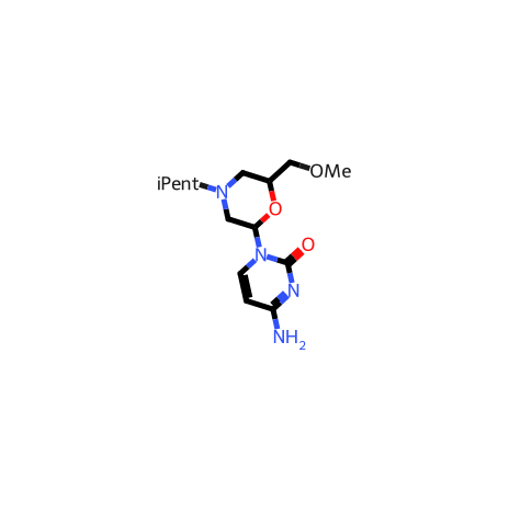 CCCC(C)N1CC(COC)OC(n2ccc(N)nc2=O)C1